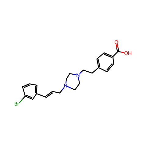 O=C(O)c1ccc(CCN2CCN(CC=Cc3cccc(Br)c3)CC2)cc1